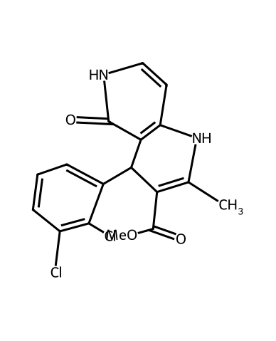 COC(=O)C1=C(C)Nc2cc[nH]c(=O)c2C1c1cccc(Cl)c1Cl